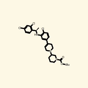 C[C@@H](Nc1cc(C2=CCN(C3CCCN(C(=O)OC(C)(C)C)C3)CC2)ccc1Cl)c1ccc(Cl)cc1Cl